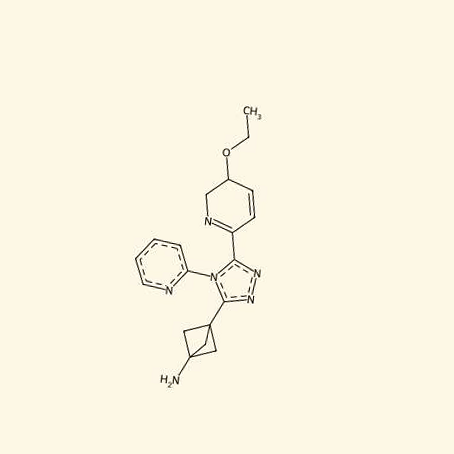 CCOC1C=CC(c2nnc(C34CC(N)(C3)C4)n2-c2ccccn2)=NC1